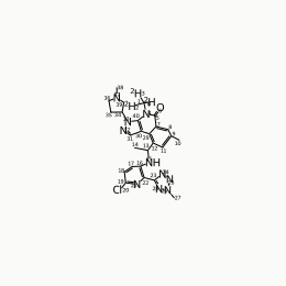 [2H]C([2H])([2H])n1c(=O)c2cc(C)cc(C(C)Nc3ccc(Cl)nc3-c3nnn(C)n3)c2c2cnn(C3CCN(C)C3)c21